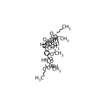 CBOC(=O)[C@H](CC(=O)OCCCC)NC(=O)c1ccc(-c2ccc(C(=O)NCNC(=O)[C@H](CCCCC)[C@@H](CC)N(C=O)OC(=O)NC(C)(C)C)o2)cc1OCC